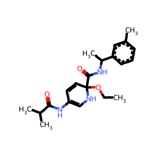 CCOC1(C(=O)NC(C)c2cccc(C)c2)C=CC(NC(=O)C(C)C)=CN1